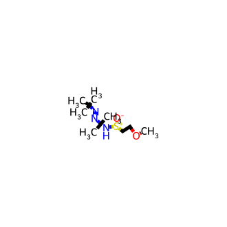 COCC[S+]([O-])NC(C)(C)N=NC(C)(C)C